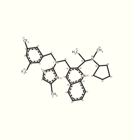 Cc1coc(N(Cc2cc(C(F)(F)F)cc(C(F)(F)F)c2)Cc2cc3ccccc3nc2C(C)N(C)C2CCCC2)n1